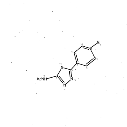 CC(=O)Nc1nnc(-c2ccc(Br)cc2)s1